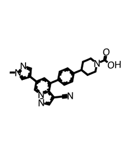 Cn1cc(-c2cc(-c3ccc(C4CCN(C(=O)O)CC4)cc3)c3c(C#N)cnn3c2)cn1